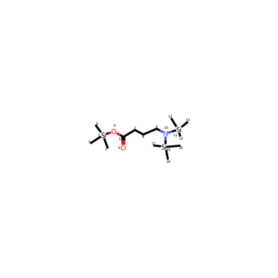 C[Si](C)(C)OC(=O)CCCN([Si](C)(C)C)[Si](C)(C)C